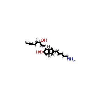 CC#CC[C@H](C)[C@H](O)/C=C/[C@@H]1[C@H]2CC(CCCCCN)=C[C@H]2C[C@H]1O